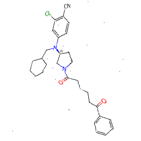 N#Cc1ccc(N(CC2CCCCC2)[C@H]2CCN(C(=O)CCCCC(=O)c3ccccc3)C2)cc1Cl